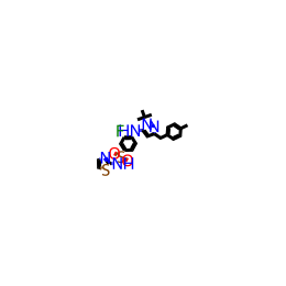 Cc1ccc(Cc2cc(Nc3ccc(S(=O)(=O)Nc4nccs4)cc3F)n(C(C)(C)C)n2)cc1